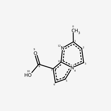 Cc1ccn2ccc(C(=O)O)c2n1